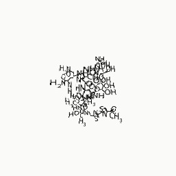 CC(=O)c1csc(-c2csc(CCNC(=O)C(NC(=O)C(C)C(O)C(C)NC(=O)C(NC(=O)c3nc(C(CCC(N)C(N)=O)CC(N)=O)nc(N)c3C)C(OC3OC(CO)C(O)C(O)C3OC3OC(CO)C(O)C(OC(N)=O)C3O)c3c[nH]cn3)C(C)O)n2)n1